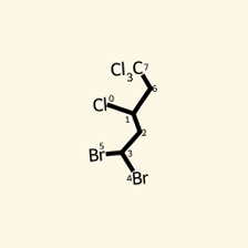 ClC(CC(Br)Br)CC(Cl)(Cl)Cl